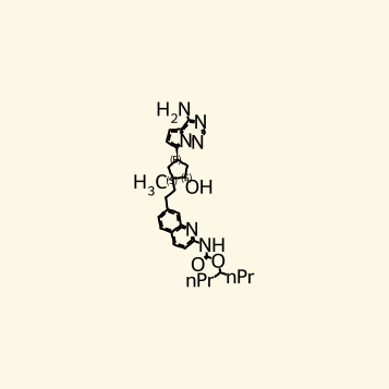 CCCC(CCC)OC(=O)Nc1ccc2ccc(CC[C@@]3(C)C[C@@H](c4ccc5c(N)ncnn45)C[C@@H]3O)cc2n1